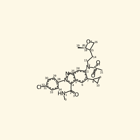 CNC(=O)c1c2cc(C3CC3)c(N(CCC3CO[C@@H]3C)S(C)(=O)=O)cc2nn1-c1ccc(Cl)cc1